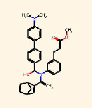 C=C(C1CC2CCC1C2)N(c1cccc(CCC(=O)OC)c1)C(O)c1ccc(-c2ccc(N(C)C)cc2)cc1